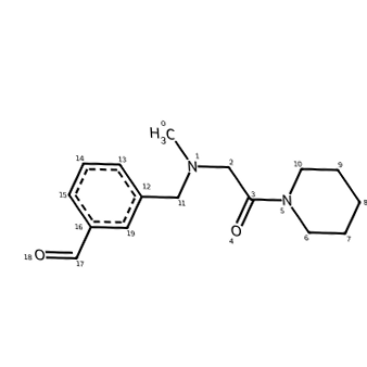 CN(CC(=O)N1CCCCC1)Cc1cccc(C=O)c1